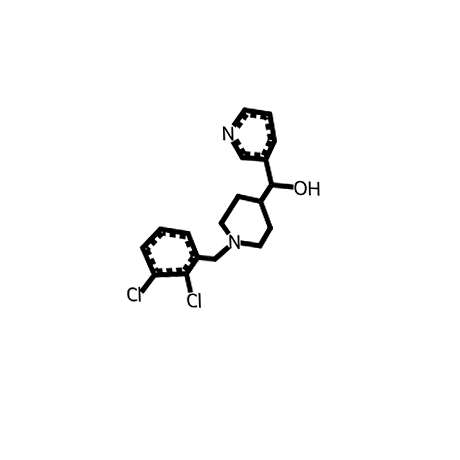 OC(c1cccnc1)C1CCN(Cc2cccc(Cl)c2Cl)CC1